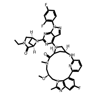 CCN1C[C@@H]2C[C@H](C1=O)N2c1nc(N2C[C@@H]3C[C@H]2C(=O)N(C)C[C@H](OC)Cn2c(C)nc4cc(F)cc(c42)-c2cccc(n2)N3)c2cnn(-c3ccc(F)cc3F)c2n1